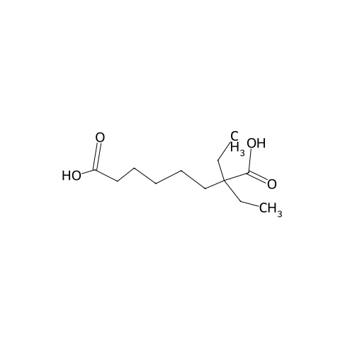 CCC(CC)(CCCCCC(=O)O)C(=O)O